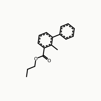 CCCOC(=O)c1cccc(-c2ccccc2)c1C